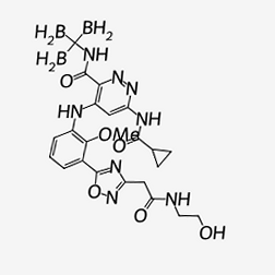 BC(B)(B)NC(=O)c1nnc(NC(=O)C2CC2)cc1Nc1cccc(-c2nc(CC(=O)NCCO)no2)c1OC